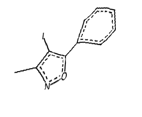 Cc1noc(-c2ccccc2)c1I